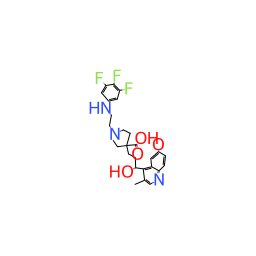 COc1ccc2ncc(C)c(C(O)CCC3(C(=O)O)CCN(CCNc4cc(F)c(F)c(F)c4)CC3)c2c1